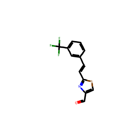 O=Cc1csc(/C=C/c2cccc(C(F)(F)F)c2)n1